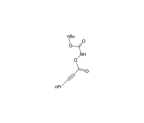 CCCC#CC(=O)ONC(=O)OCCCC